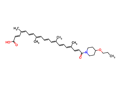 CCCOC1CCN(C(=O)/C=C/C(C)=C/C=C/C(C)=C/C=C/C=C(C)/C=C/C=C(C)\C=C\C(=O)O)CC1